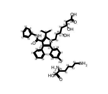 CC(C)c1c(C(=O)Nc2ccccc2)c(-c2ccccc2)c(-c2ccc(F)cc2)n1CC[C@@H](O)C[C@@H](O)CC(=O)O.NCCCCC(N)C(=O)O